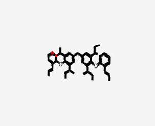 CC=Cc1ccccc1Oc1c(C(C)CC)cc(Cc2cc(C(C)CC)c(Oc3ccccc3C=CC)c(C(C)CC)c2)cc1C(C)CC